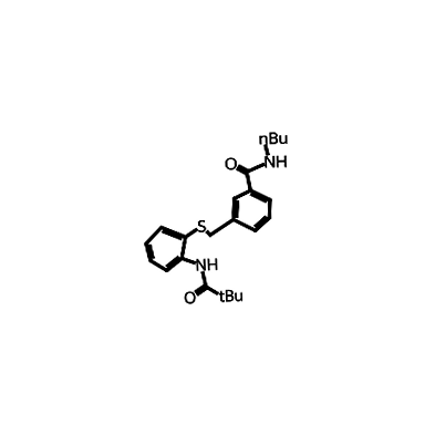 CCCCNC(=O)c1cccc(CSc2ccccc2NC(=O)C(C)(C)C)c1